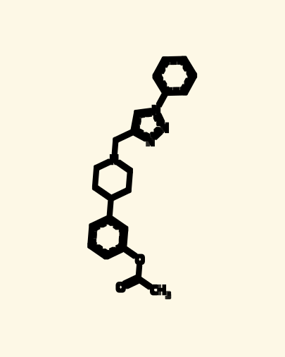 CC(=O)Oc1cccc(C2CCN(Cc3cn(-c4ccccc4)nn3)CC2)c1